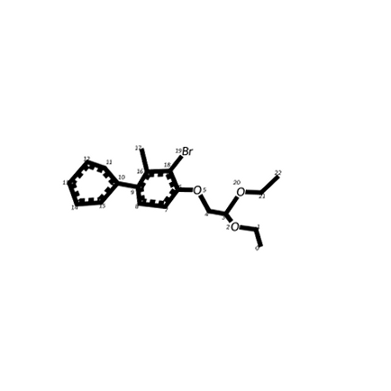 CCOC(COc1ccc(-c2ccccc2)c(C)c1Br)OCC